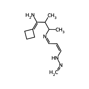 C=NN/C=C\C=N/C(C)C(C)C(N)=C1CCC1